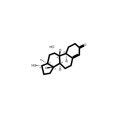 C[C@]12CC[C@H]3[C@@H](CCC4=CC(=O)CC[C@@H]43)[C@@H]1CC[C@@H]2O.Cl